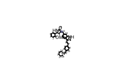 COc1ccccc1C1C/C(=C\c2ccc3c(C=Cc4ccc(CN5CCCCC5)cc4)n[nH]c3c2)C(=O)N1